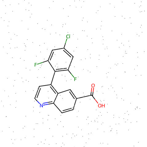 O=C(O)c1ccc2nccc(-c3c(F)cc(Cl)cc3F)c2c1